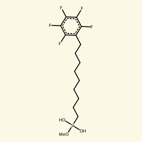 CO[Si](O)(O)CCCCCCCCCc1c(F)c(F)c(F)c(F)c1F